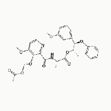 COc1cccc([C@@H](Oc2ccccc2)[C@H](C)OC(=O)[C@H](C)NC(=O)c2nccc(OC)c2OCOC(C)=O)c1